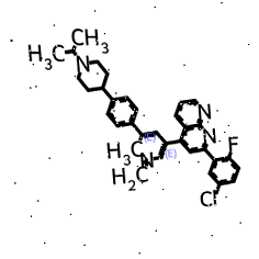 C=N/C=C(\C=C(/C)c1ccc(C2CCN(C(C)C)CC2)cc1)c1cc(-c2cc(Cl)ccc2F)nc2ncccc12